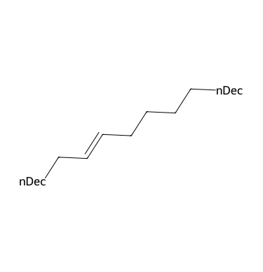 [CH2]CCCCCCCCCCC=CCCCCCCCCCCCCC[CH2]